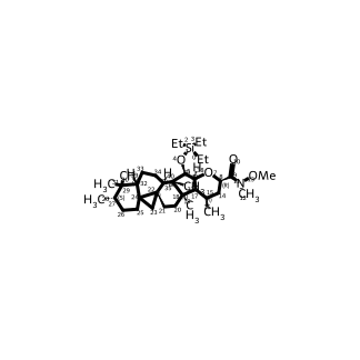 CC[Si](CC)(CC)O[C@H]1[C@H]2O[C@@H](C(=O)N(C)OC)C[C@@H](C)C2[C@@]2(C)CC[C@@]34CC35CC[C@H](C)C(C)(C)[C@@H]5CC[C@H]4[C@]12C